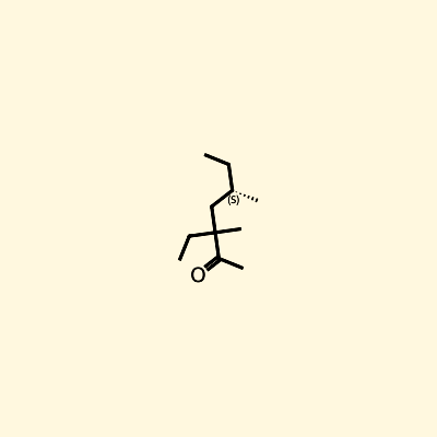 CC[C@H](C)CC(C)(CC)C(C)=O